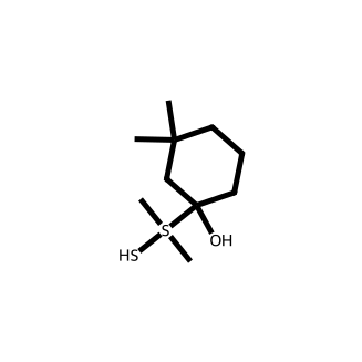 CC1(C)CCCC(O)(S(C)(C)S)C1